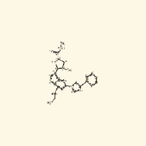 CCNc1nc(-n2cc(-c3cccnn3)nn2)nc2c1ncn2C1O[C@H](C(=O)NC)C[C@H]1O